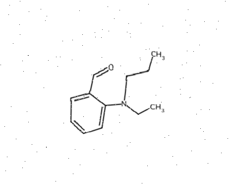 CCCN(CC)c1ccccc1[C]=O